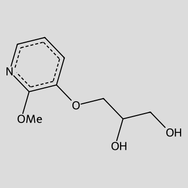 COc1ncccc1OCC(O)CO